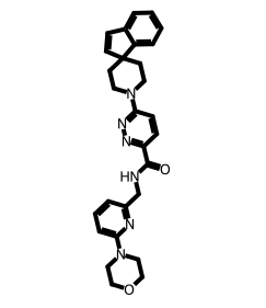 O=C(NCc1cccc(N2CCOCC2)n1)c1ccc(N2CCC3(C=Cc4ccccc43)CC2)nn1